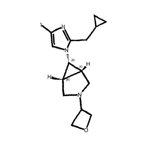 Ic1cn([C@@H]2[C@@H]3CN(C4COC4)C[C@@H]32)c(CC2CC2)n1